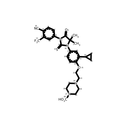 CC1(C)C(=O)N(c2ccc(C#N)c(C(F)(F)F)c2)C(=S)N1c1ccc(OCCN2CCN(C(=O)O)CC2)c(C2CC2)c1